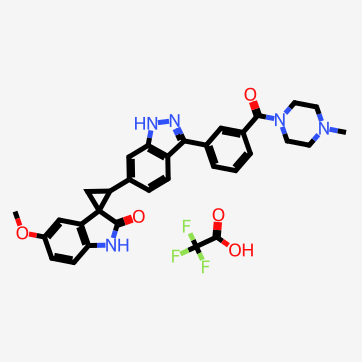 COc1ccc2c(c1)C1(CC1c1ccc3c(-c4cccc(C(=O)N5CCN(C)CC5)c4)n[nH]c3c1)C(=O)N2.O=C(O)C(F)(F)F